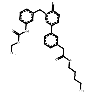 CCOC(=O)Nc1cccc(Cn2nc(-c3cccc(CC(=O)NCCCCO)c3)ccc2=O)c1